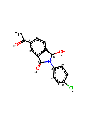 CC(=O)c1ccc2c(c1)C(=O)N(c1ccc(Cl)cc1)C2O